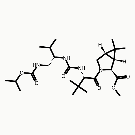 COC(=O)[C@@H]1[C@@H]2[C@H](CN1C(=O)[C@@H](NC(=O)N[C@H](CNC(=O)OC(C)C)C(C)C)C(C)(C)C)C2(C)C